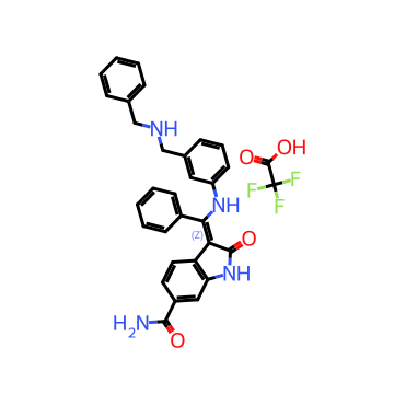 NC(=O)c1ccc2c(c1)NC(=O)/C2=C(\Nc1cccc(CNCc2ccccc2)c1)c1ccccc1.O=C(O)C(F)(F)F